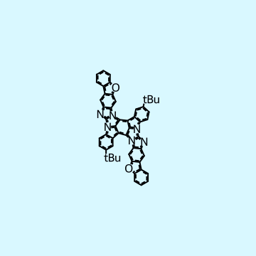 CC(C)(C)c1ccc2c(c1)c1c3c4c(c5cc(C(C)(C)C)ccc5n4c4nc5cc6c(cc5n34)oc3ccccc36)c3c1n2c1nc2cc4c(cc2n31)oc1ccccc14